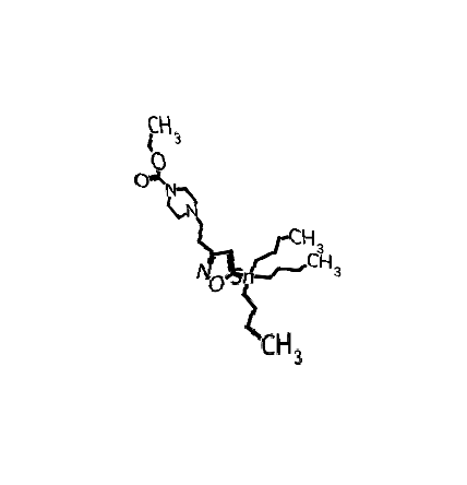 CCC[CH2][Sn]([CH2]CCC)([CH2]CCC)[c]1cc(CCN2CCN(C(=O)OCC)CC2)no1